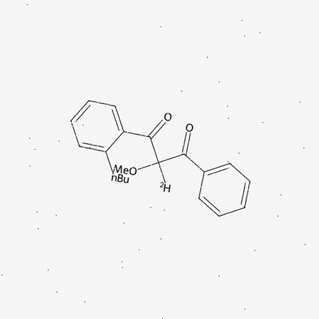 [2H]C(OC)(C(=O)c1ccccc1)C(=O)c1ccccc1CCCC